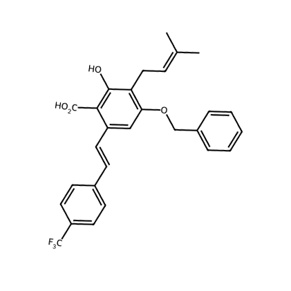 CC(C)=CCc1c(OCc2ccccc2)cc(/C=C/c2ccc(C(F)(F)F)cc2)c(C(=O)O)c1O